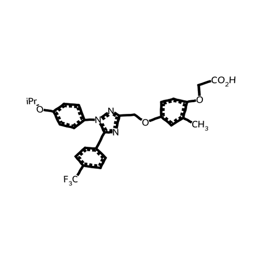 Cc1cc(OCc2nc(-c3ccc(C(F)(F)F)cc3)n(-c3ccc(OC(C)C)cc3)n2)ccc1OCC(=O)O